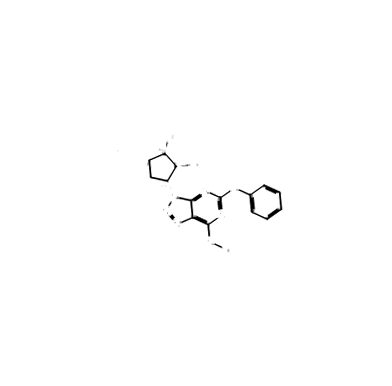 CCCCNc1nc(Sc2ccccc2)nc2c1nnn2[C@@H]1C[C@H](C(=O)O)[C@@H](O)[C@H]1O